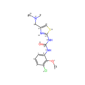 CCOc1c(Cl)cccc1NC(=O)Nc1nc(CN(C)C(C)C)cs1